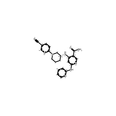 N#Cc1ccc(N2CCC[C@@H](Nc3cc(Nc4ccccn4)ncc3C(N)=O)C2)nc1